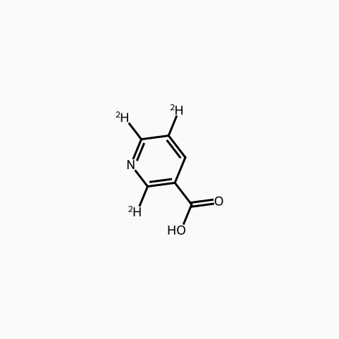 [2H]c1cc(C(=O)O)c([2H])nc1[2H]